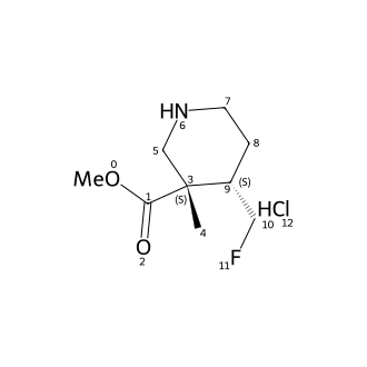 COC(=O)[C@]1(C)CNCC[C@@H]1CF.Cl